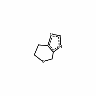 c1nc2c(o1)CCSC2